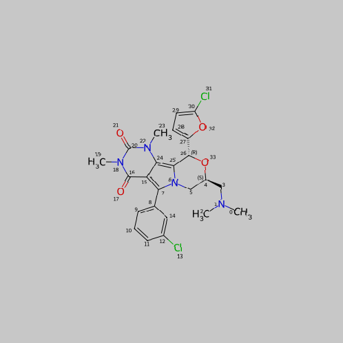 CN(C)C[C@H]1Cn2c(-c3cccc(Cl)c3)c3c(=O)n(C)c(=O)n(C)c3c2[C@H](c2ccc(Cl)o2)O1